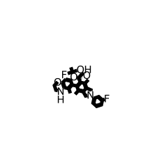 Cc1c(-c2c(C)c3c(c(C)c2[C@H](OC(C)(C)C)C(=O)O)CN(c2cccc(F)c2)C3)cc(F)c2c1NCCO2